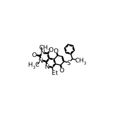 CCc1nc2c(c3c1C(=O)C(SC(C)c1ccccc1)=CC3=O)c(=O)n(C)c(=O)n2C